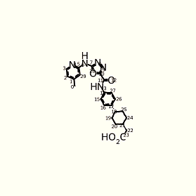 Cc1ccnc(Nc2nnc(C(=O)Nc3ccc([C@H]4CC[C@H](CC(=O)O)CC4)cc3)o2)c1